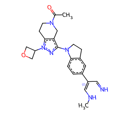 CN/C=C(\C=N)c1ccc2c(c1)CCN2c1nn(C2COC2)c2c1CN(C(C)=O)CC2